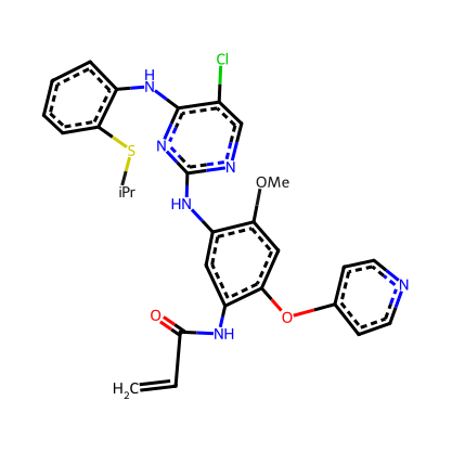 C=CC(=O)Nc1cc(Nc2ncc(Cl)c(Nc3ccccc3SC(C)C)n2)c(OC)cc1Oc1ccncc1